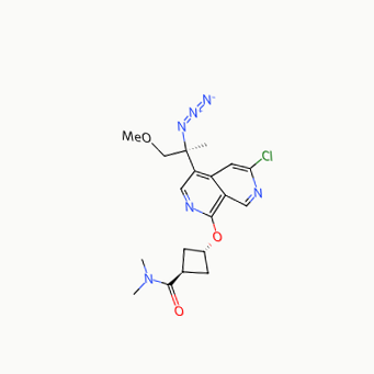 COC[C@@](C)(N=[N+]=[N-])c1cnc(O[C@H]2C[C@H](C(=O)N(C)C)C2)c2cnc(Cl)cc12